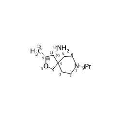 CC(C)N1CCC2(CC1)CO[C@H](C)[C@@H]2N